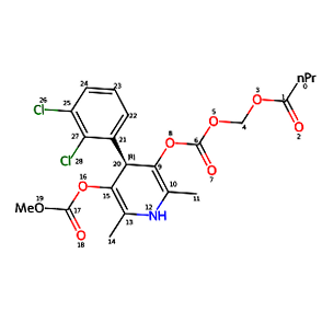 CCCC(=O)OCOC(=O)OC1=C(C)NC(C)=C(OC(=O)OC)[C@H]1c1cccc(Cl)c1Cl